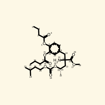 CCCC(=O)Oc1ccc(CC(N)(C[C@H](C)OC(=O)OCCC(C)C)C(=O)OC)cc1OC(=O)CCC